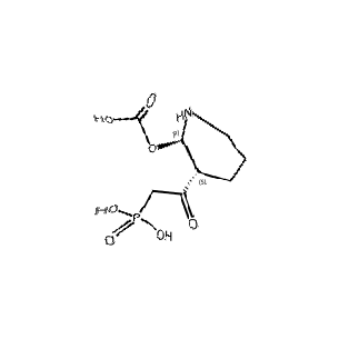 O=C(O)O[C@H]1NCCC[C@@H]1C(=O)CP(=O)(O)O